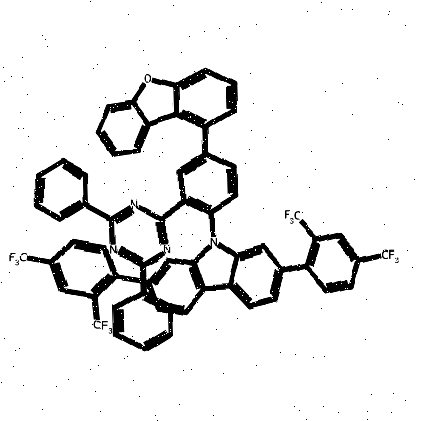 FC(F)(F)c1ccc(-c2ccc3c4ccc(-c5ccc(C(F)(F)F)cc5C(F)(F)F)cc4n(-c4ccc(-c5cccc6oc7ccccc7c56)cc4-c4nc(-c5ccccc5)nc(-c5ccccc5)n4)c3c2)c(C(F)(F)F)c1